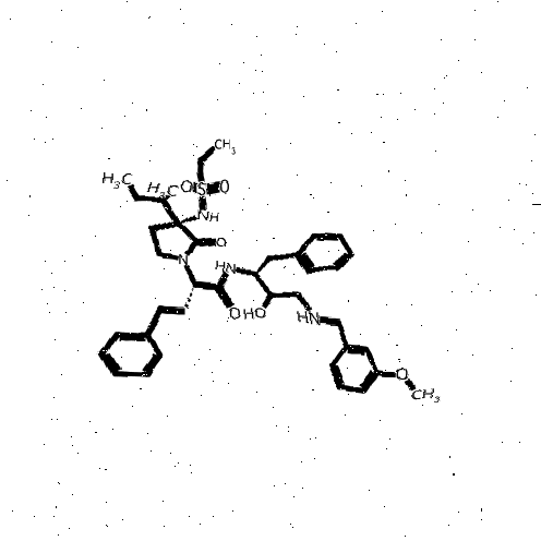 CC[C@H](C)[C@@]1(NS(=O)(=O)CC)CCN([C@@H](CCc2ccccc2)C(=O)N[C@@H](Cc2ccccc2)C(O)CNCc2cccc(OC)c2)C1=O